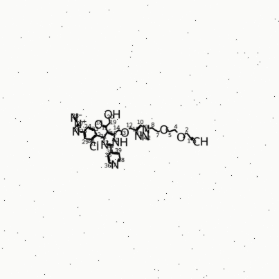 C#CCOCCOCCn1cc(COCC2=C(C(=O)CO)C(c3ccc(N=[N+]=[N-])cc3Cl)N=C(c3ccncc3)N2)nn1